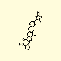 Cc1n[nH]cc1-c1ccc(Cc2cc3c(c(C)c2C)CN(C2CCCC2O)C3=O)cc1